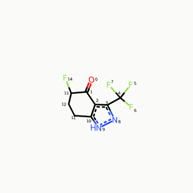 O=C1c2c(C(F)(F)F)n[nH]c2CCC1F